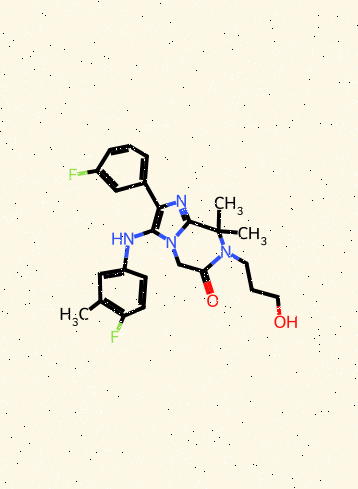 Cc1cc(Nc2c(-c3cccc(F)c3)nc3n2CC(=O)N(CCCO)C3(C)C)ccc1F